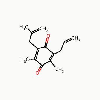 C=CCC1=C(C)C(=O)C(C)=C(CC(=C)C)C1=O